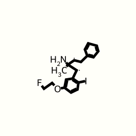 CC(N)([CH]Cc1ccccc1)[CH]c1cc(OCCF)ccc1I